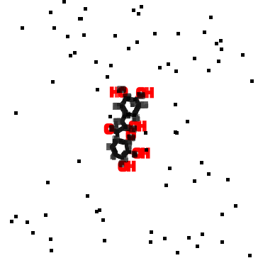 O=C1c2ccc(O)c(O)c2OC1(O)Cc1ccc(O)c(O)c1